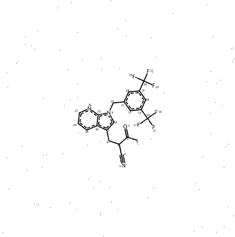 CC(=O)C(C#N)Cc1cn(Cc2cc(C(F)(F)F)cc(C(F)(F)F)c2)c2ncccc12